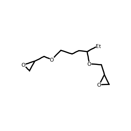 CC[C](CCCOCC1CO1)OCC1CO1